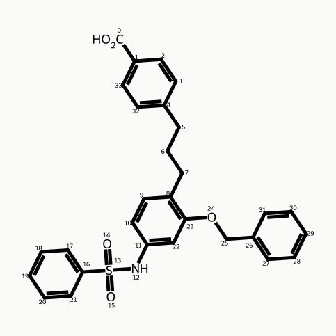 O=C(O)c1ccc(CCCc2ccc(NS(=O)(=O)c3ccccc3)cc2OCc2ccccc2)cc1